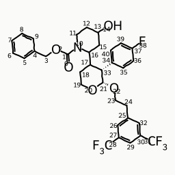 O=C(OCc1ccccc1)N1CCC(O)CC1C1CCO[C@@H](OCCc2cc(C(F)(F)F)cc(C(F)(F)F)c2)[C@H]1c1ccc(F)cc1